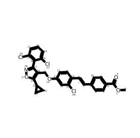 COC(=O)c1ccc(/C=C/c2ccc(OCc3c(-c4c(Cl)cccc4Cl)noc3C3CC3)cc2Cl)cc1